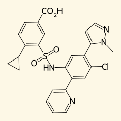 Cn1nccc1-c1cc(NS(=O)(=O)c2cc(C(=O)O)ccc2C2CC2)c(-c2ccccn2)cc1Cl